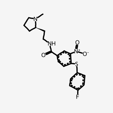 CN1CCC[C@@H]1CCNC(=O)c1ccc(Sc2ccc(F)cc2)c([N+](=O)[O-])c1